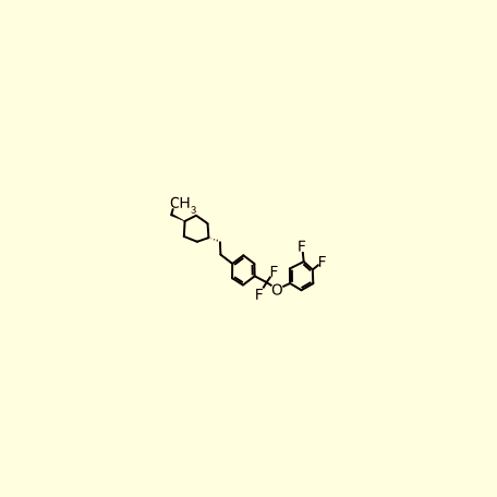 CC[C@H]1CC[C@H](CCc2ccc(C(F)(F)Oc3ccc(F)c(F)c3)cc2)CC1